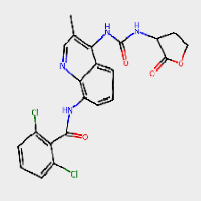 Cc1cnc2c(NC(=O)c3c(Cl)cccc3Cl)cccc2c1NC(=O)NC1CCOC1=O